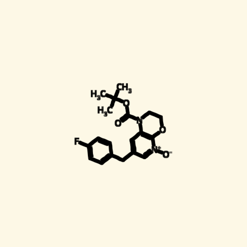 CC(C)(C)OC(=O)N1CCOc2c1cc(Cc1ccc(F)cc1)c[n+]2[O-]